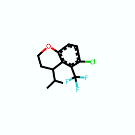 CC(C)C1CCOc2ccc(Cl)c(C(F)(F)F)c21